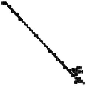 CC(=O)NC[C@H](OCCOCCOCCOCCOCCOCCOCCCCCCCCCCSSCCCCCCCCCCCOCCOCCOCCOCCO)OC(CO)[C@@H](O)CO